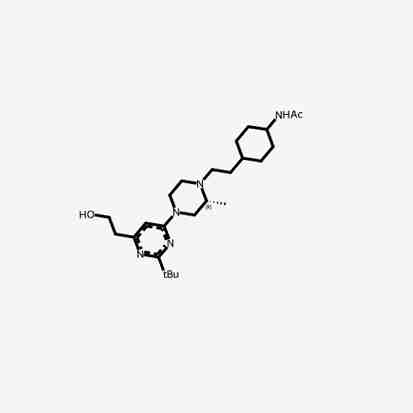 CC(=O)NC1CCC(CCN2CCN(c3cc(CCO)nc(C(C)(C)C)n3)C[C@H]2C)CC1